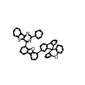 c1ccc(-c2nc(-c3cccc4c3oc3c(-c5ccc6c(c5)C5(c7ccccc7Oc7ccccc75)c5ccccc5-6)cccc34)c3sc4ccccc4c3n2)cc1